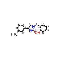 Cc1cccc(C2CN(Cc3ccccc3)C(O)=N2)c1